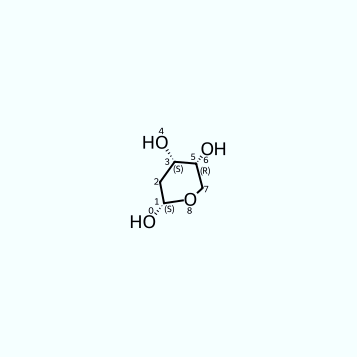 O[C@@H]1C[C@H](O)[C@H](O)CO1